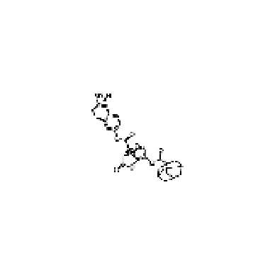 O=C1Oc2c(OC(=O)C34CC5CC(CC(C5)C3)C4)c3oc2c1c3C(=O)Oc1ccc2cc(S(=O)(=O)O)ccc2c1